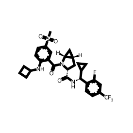 CS(=O)(=O)c1ccc(NC2CCC2)c(C(=O)N2[C@@H](C(=O)N[C@@H](c3ccc(C(F)(F)F)cc3F)C3CC3)C[C@H]3C[C@H]32)c1